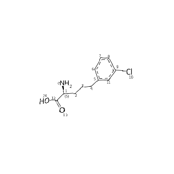 N[C@@H](CCCc1cccc(Cl)c1)C(=O)O